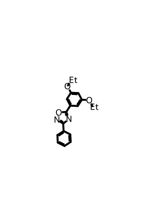 CCOc1cc(OCC)cc(-c2nc(-c3ccccc3)no2)c1